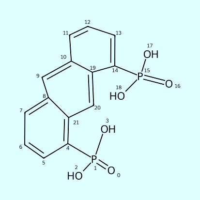 O=P(O)(O)c1cccc2cc3cccc(P(=O)(O)O)c3cc12